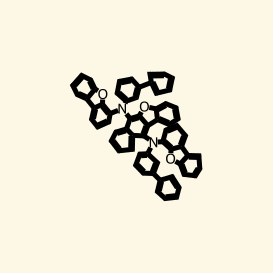 c1ccc(-c2cccc(N(c3cccc4c3oc3ccccc34)c3c4ccccc4c(N(c4cccc(-c5ccccc5)c4)c4cccc5c4oc4ccccc45)c4c3oc3ccccc34)c2)cc1